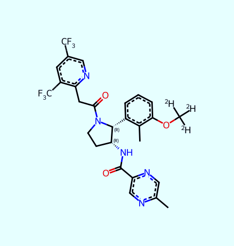 [2H]C([2H])([2H])Oc1cccc([C@@H]2[C@H](NC(=O)c3cnc(C)cn3)CCN2C(=O)Cc2ncc(C(F)(F)F)cc2C(F)(F)F)c1C